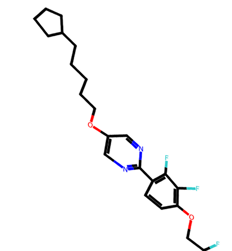 CCCCCC[C@@H](F)COc1ccc(-c2ncc(OCCCCCC3CCCC3)cn2)c(F)c1F